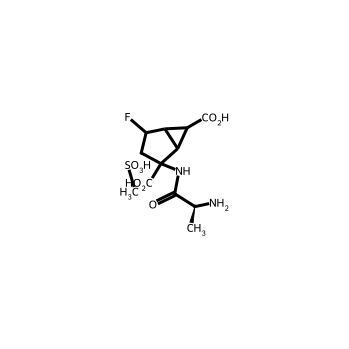 CS(=O)(=O)O.C[C@H](N)C(=O)NC1(C(=O)O)CC(F)C2C(C(=O)O)C21